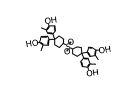 Cc1cc(C2(c3ccc(O)c(C)c3)CCC(S(=O)(=O)C3CCC(c4ccc(O)c(C)c4)(c4ccc(O)c(C)c4)CC3)CC2)ccc1O